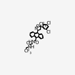 O=C(CNC(=O)c1c2ccccc2c(C2=NOC(c3cc(Cl)cc(Cl)c3)(C(F)(F)F)C2)c2ccccc12)NCC(F)(F)F